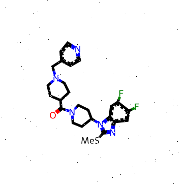 CSc1nc2cc(F)c(F)cc2n1C1CCN(C(=O)C2CCN(Cc3ccncc3)CC2)CC1